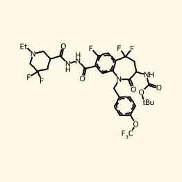 CCN1CC(C(=O)NNC(=O)c2cc3c(cc2F)C(F)(F)CC(NC(=O)OC(C)(C)C)C(=O)N3Cc2ccc(OC(F)(F)F)cc2)CC(F)(F)C1